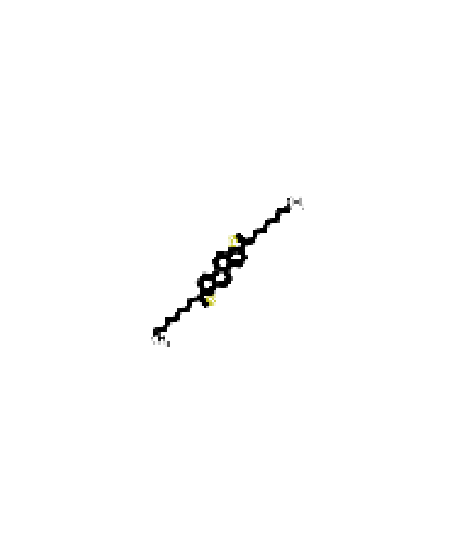 CCCCCCCCc1csc2c1ccc1c3ccc4c(ccc5c(CCCCCCCC)csc54)c3ccc12